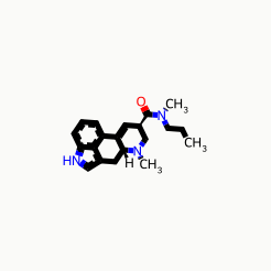 CCCN(C)C(=O)[C@@H]1C=C2c3cccc4[nH]cc(c34)C[C@H]2N(C)C1